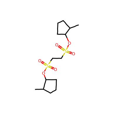 CC1CCCC1OS(=O)(=O)CCS(=O)(=O)OC1CCCC1C